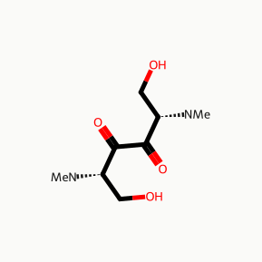 CN[C@@H](CO)C(=O)C(=O)[C@H](CO)NC